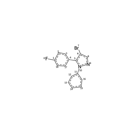 Fc1ccc(-c2c(Br)cnn2-c2ccccc2)cc1